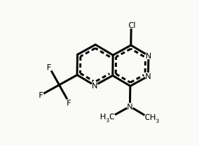 CN(C)c1nnc(Cl)c2ccc(C(F)(F)F)nc12